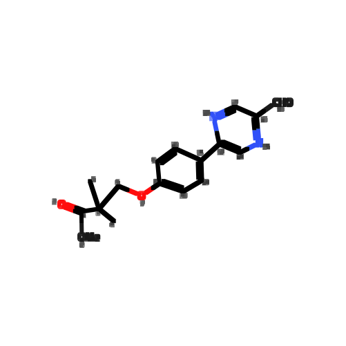 COC(=O)C(C)(C)COc1ccc(-c2cnc(C=O)cn2)cc1